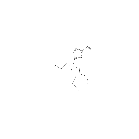 CCC[CH2][Sn]([CH2]CCC)([CH2]CCC)[c]1cc(C=O)co1